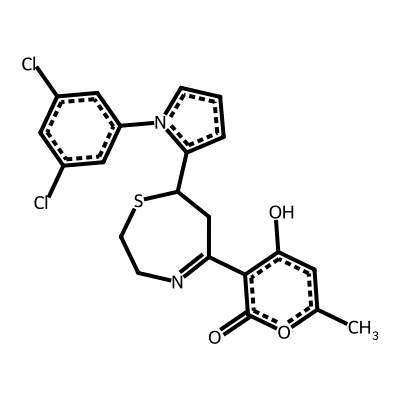 Cc1cc(O)c(C2=NCCSC(c3cccn3-c3cc(Cl)cc(Cl)c3)C2)c(=O)o1